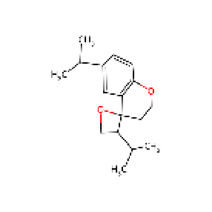 CC(C)c1ccc2c(c1)C1(CCO2)OCC1C(C)C